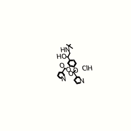 CC(C)(C)NCC(O)c1ccc(OC(=O)c2cccnc2)c(OC(=O)c2cccnc2)c1.Cl